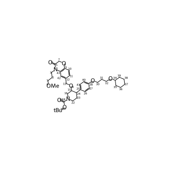 COCCCN1C(=O)COc2ccc(COC3CN(C(=O)OC(C)(C)C)CCC3c3ccc(OCCCOC4CCCCC4)cc3)cc21